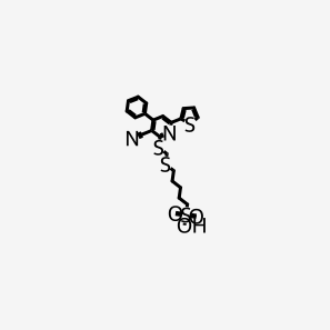 N#Cc1c(-c2ccccc2)cc(-c2cccs2)nc1SCSCCCCCS(=O)(=O)O